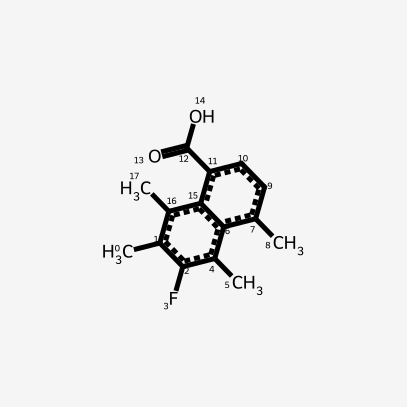 Cc1c(F)c(C)c2c(C)ccc(C(=O)O)c2c1C